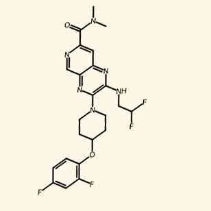 CN(C)C(=O)c1cc2nc(NCC(F)F)c(N3CCC(Oc4ccc(F)cc4F)CC3)nc2cn1